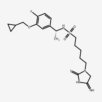 C[C@@H](NS(=O)(=O)CCCCCN1CC(=N)NC1=S)c1ccc(F)c(OCC2CC2)c1